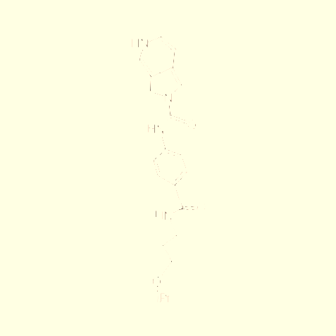 CC(C)OCCCNC(=O)c1ccc(NC(=O)N2C=C3C=CNC=C3C2)cc1